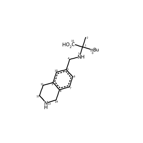 CCCCC(C)(NCc1ccc2c(c1)CCNC2)C(=O)O